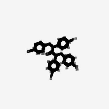 O=C(C(Cc1ccc(Cl)nn1)c1ccc(F)cc1)C(Cc1ccc(Cl)nn1)c1ccc(F)cc1